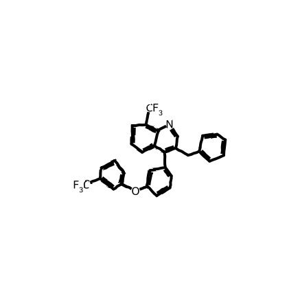 FC(F)(F)c1cccc(Oc2cccc(-c3c(Cc4ccccc4)cnc4c(C(F)(F)F)cccc34)c2)c1